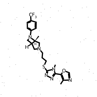 Cc1ncoc1-c1nnc(SCCCN2C[C@@H]3CN(c4ccc(C(F)(F)F)cc4)[C@]3(C)C2)n1C